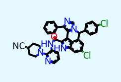 N#CC1CCN(c2ncccc2NC(=O)c2[nH]c3cc(Cl)cc4c3c2-c2c(-c3ccccc3)ncn2C4c2ccc(Cl)cc2)CC1